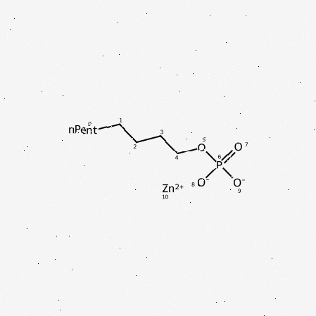 CCCCCCCCCOP(=O)([O-])[O-].[Zn+2]